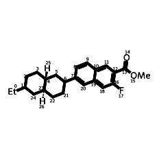 CCC1CC[C@@H]2CC(c3ccc4cc(C(=O)OC)c(F)cc4c3)CC[C@H]2C1